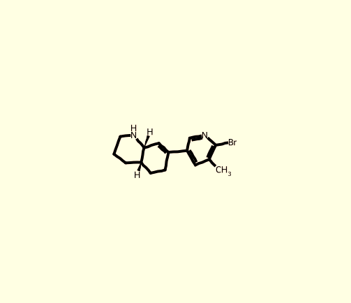 Cc1cc(C2=C[C@H]3NCCC[C@H]3CC2)cnc1Br